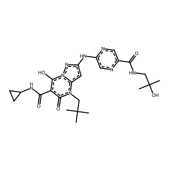 CC(C)(C)Cn1c(=O)c(C(=O)NC2CC2)c(O)n2nc(Nc3cnc(C(=O)NCC(C)(C)O)cn3)cc12